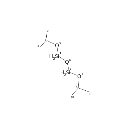 CC(C)O[SiH2]O[SiH2]OC(C)C